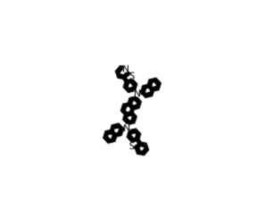 c1ccc2cc(N(c3ccc4c(ccc5cc(N(c6ccc7ccccc7c6)c6ccc7c(c6)sc6ncccc67)ccc54)c3)c3ccc4c(c3)sc3ccccc34)ccc2c1